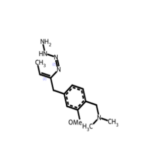 C/C=C(Cc1ccc(CN(C)C)c(OC)c1)\N=N/NN